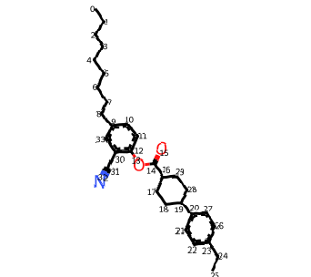 CCCCCCCCCc1ccc(OC(=O)C2CCC(c3ccc(CC)cc3)CC2)c(C#N)c1